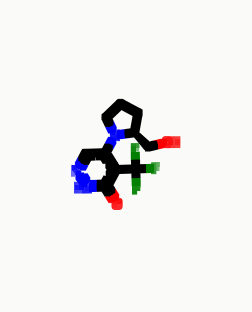 O=c1[nH]ncc(N2CCC[C@H]2CO)c1C(F)(F)F